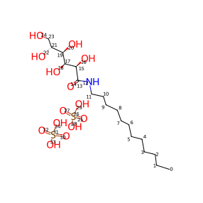 CCCCCCCCCCCCNC(=O)[C@H](O)[C@@H](O)[C@H](O)[C@H](O)CO.O=S(=O)(O)O.O=S(=O)(O)O